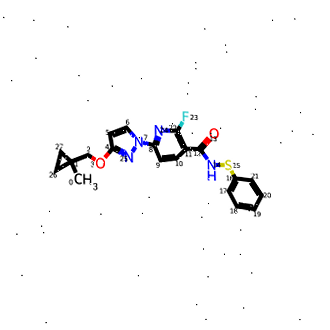 CC1(COc2ccn(-c3ccc(C(=O)NSc4ccccc4)c(F)n3)n2)CC1